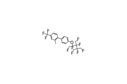 Cc1cc(C(F)(F)F)ccc1-c1ccc(OC(F)(CF)C(F)(CF)C(F)(CF)CF)cc1